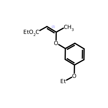 CCOC(=O)/C=C(/C)Oc1cccc(OCC)c1